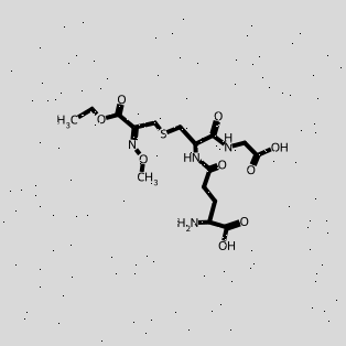 CCOC(=O)C(CSCC(NC(=O)CCC(N)C(=O)O)C(=O)NCC(=O)O)=NOC